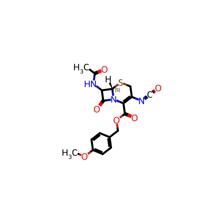 COc1ccc(COC(=O)C2=C(N=C=O)CS[C@H]3C(NC(C)=O)C(=O)N23)cc1